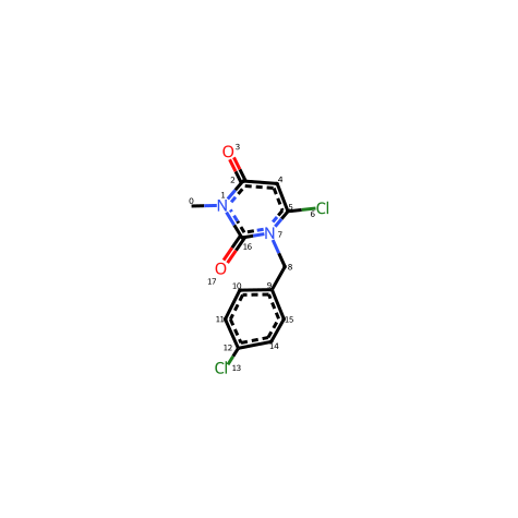 Cn1c(=O)cc(Cl)n(Cc2ccc(Cl)cc2)c1=O